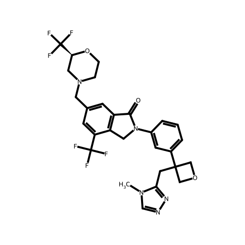 Cn1cnnc1CC1(c2cccc(N3Cc4c(cc(CN5CCO[C@H](C(F)(F)F)C5)cc4C(F)(F)F)C3=O)c2)COC1